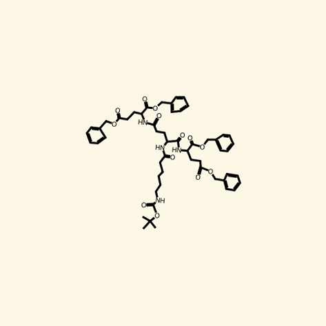 CC(C)(C)OC(=O)NCCCCCC(=O)NC(CCC(=O)NC(CCC(=O)OCc1ccccc1)C(=O)OCc1ccccc1)C(=O)NC(CCC(=O)OCc1ccccc1)C(=O)OCc1ccccc1